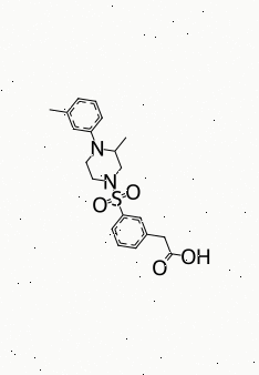 Cc1cccc(N2CCN(S(=O)(=O)c3cccc(CC(=O)O)c3)CC2C)c1